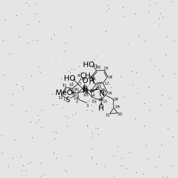 CO[C@]12CC[C@@]3(C[C@@H]1C(C)(O)c1ccsc1)[C@H]1Cc4ccc(O)c5c4[C@@]3(CCN1CC1CC1)[C@H]2O5